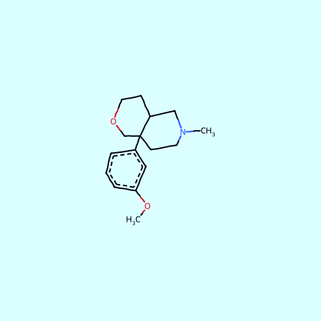 COc1cccc(C23CCN(C)CC2CCOC3)c1